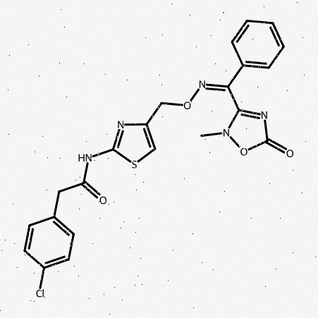 Cn1oc(=O)nc1C(=NOCc1csc(NC(=O)Cc2ccc(Cl)cc2)n1)c1ccccc1